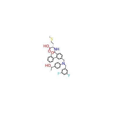 CSCC[C@H](NC(=O)c1ccc(CN(Cc2cc(F)cc(F)c2)c2ccc(C(C)O)cc2)cc1-c1ccccc1C)C(=O)O